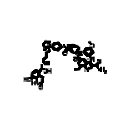 CCc1cc(S(=O)(=O)c2cccc(C(=O)Nc3ccc(C4(CCCCNCC(O)c5ccc(O)c6[nH]c(=O)ccc56)SCCS4)cc3)c2)cc2c(Nc3cccc(OC)c3)c(C(N)=O)cnc12